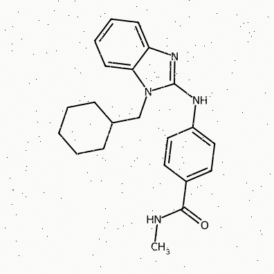 CNC(=O)c1ccc(Nc2nc3ccccc3n2CC2CCCCC2)cc1